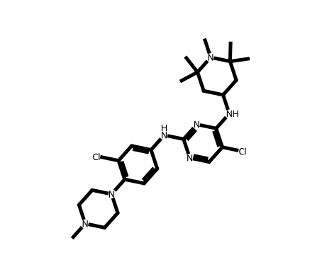 CN1CCN(c2ccc(Nc3ncc(Cl)c(NC4CC(C)(C)N(C)C(C)(C)C4)n3)cc2Cl)CC1